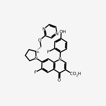 O=C(O)c1cn(-c2ccc(O)cc2F)c2cc(N3CCC[C@@H]3COc3cnccn3)c(F)cc2c1=O